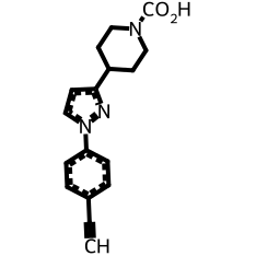 C#Cc1ccc(-n2ccc(C3CCN(C(=O)O)CC3)n2)cc1